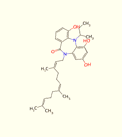 CCC(C)N1c2c(O)cccc2C(=O)N(CC=C(C)CCC=C(C)CCC=C(C)C)c2cc(O)cc(O)c21